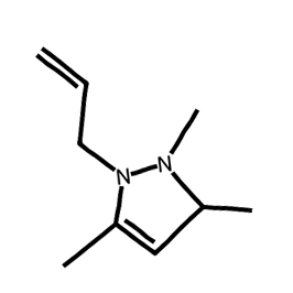 C=CCN1C(C)=CC(C)N1C